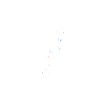 O=C(CC(CN1CCN(c2ccccc2)CC1)N1CCCCC1)OCc1ccccc1